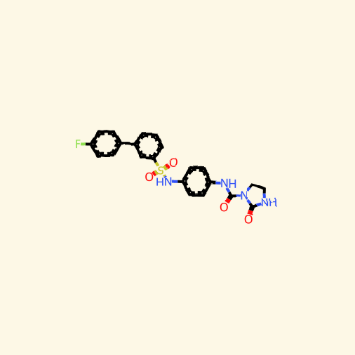 O=C1NCCN1C(=O)Nc1ccc(NS(=O)(=O)c2cccc(-c3ccc(F)cc3)c2)cc1